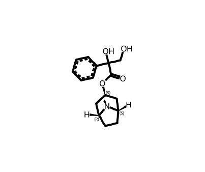 CN1[C@@H]2CC[C@H]1C[C@H](OC(=O)C(O)(CO)c1ccccc1)C2